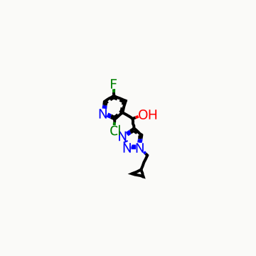 OC(c1cn(CC2CC2)nn1)c1cc(F)cnc1Cl